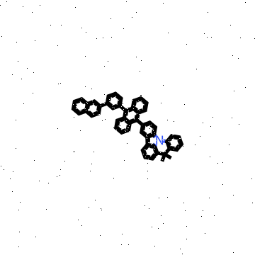 CC1(C)c2ccccc2-n2c3ccc(-c4c5ccccc5c(-c5cccc(-c6ccc7ccccc7c6)c5)c5ccccc45)cc3c3cccc1c32